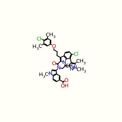 Cc1cc(OCCCc2c3n4c5c(c(Cl)ccc25)-c2c(nn(C)c2C)[C@@]4(C)CN(c2cn(C)c4ccc(C(=O)O)cc24)C3=O)cc(C)c1Cl